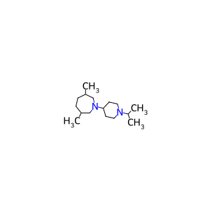 CC1CCC(C)CN(C2CCN(C(C)C)CC2)C1